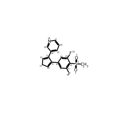 CS(=O)(=O)c1c(F)cc(C2=CCC=C2c2cccnc2)cc1F